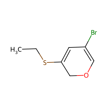 CCSC1=CC(Br)=COC1